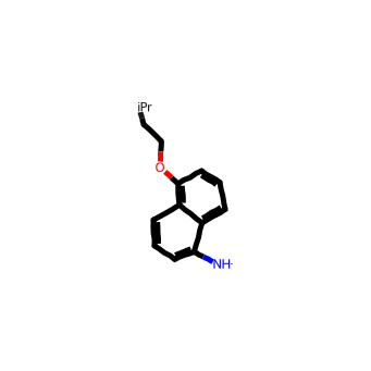 CC(C)CCOc1cccc2c([NH])cccc12